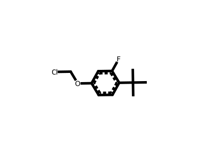 CC(C)(C)c1ccc(OCCl)cc1F